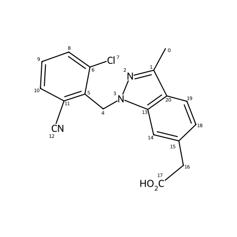 Cc1nn(Cc2c(Cl)cccc2C#N)c2cc(CC(=O)O)ccc12